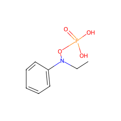 CCN(OP(=O)(O)O)c1ccccc1